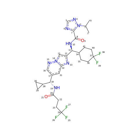 CC(C)n1ncnc1C(=O)N[C@H](c1cn2ncc([C@H](NC(=O)CCC(F)(F)F)C3CC3)cc2n1)C1CCC(F)(F)CC1